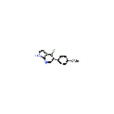 COc1ccc(-c2cnc3[nH]ccc3c2Cl)cc1